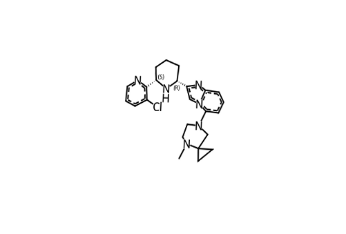 CN1CCN(c2cccc3nc([C@H]4CCC[C@@H](c5ncccc5Cl)N4)cn23)CC12CC2